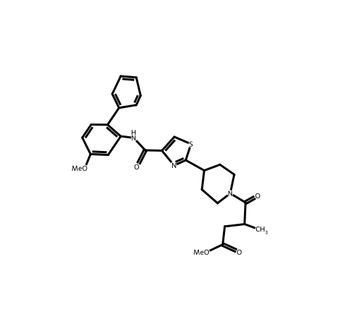 COC(=O)CC(C)C(=O)N1CCC(c2nc(C(=O)Nc3cc(OC)ccc3-c3ccccc3)cs2)CC1